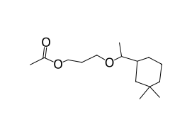 CC(=O)OCCCOC(C)C1CCCC(C)(C)C1